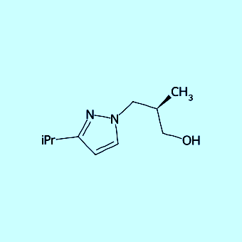 CC(C)c1ccn(C[C@@H](C)CO)n1